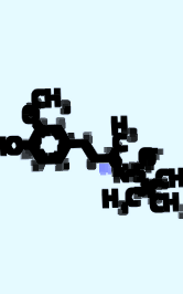 COc1cc(CC/C(C)=N/[S@+]([O-])C(C)(C)C)ccc1O